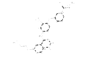 COCCOc1cc2c(Nc3ccc(Oc4cccc(C(=O)NC(C)(C)C)c4)c(C)c3)ncnc2cn1